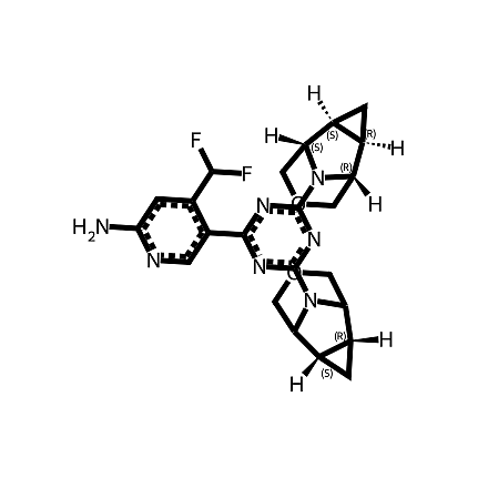 Nc1cc(C(F)F)c(-c2nc(N3C4COCC3[C@@H]3C[C@H]43)nc(N3[C@@H]4COC[C@H]3[C@@H]3C[C@@H]34)n2)cn1